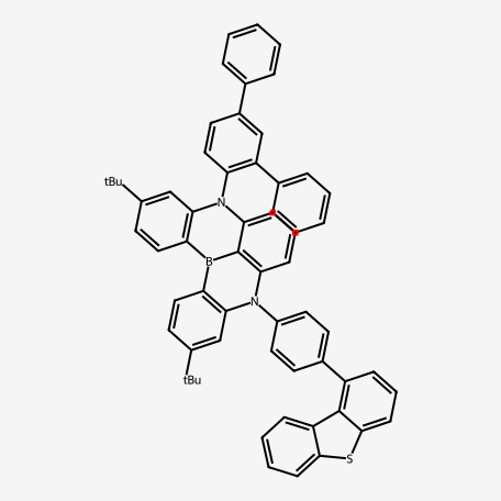 CC(C)(C)c1ccc2c(c1)N(c1ccc(-c3cccc4sc5ccccc5c34)cc1)c1cccc3c1B2c1ccc(C(C)(C)C)cc1N3c1ccc(-c2ccccc2)cc1-c1ccccc1